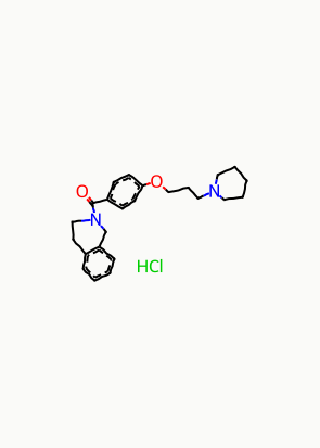 Cl.O=C(c1ccc(OCCCN2CCCCC2)cc1)N1CCc2ccccc2C1